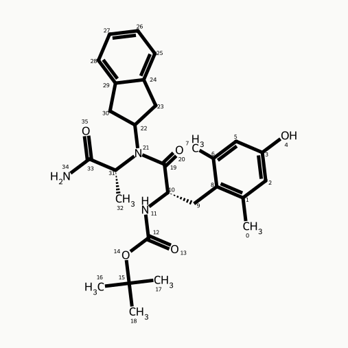 Cc1cc(O)cc(C)c1C[C@H](NC(=O)OC(C)(C)C)C(=O)N(C1Cc2ccccc2C1)[C@H](C)C(N)=O